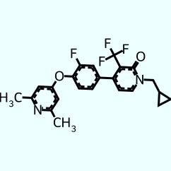 Cc1cc(Oc2ccc(-c3ccn(CC4CC4)c(=O)c3C(F)(F)F)cc2F)cc(C)n1